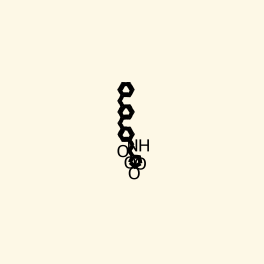 O=C1OCC(C(=O)Nc2ccc(Cc3cccc(Cc4ccccc4)c3)cc2)O1